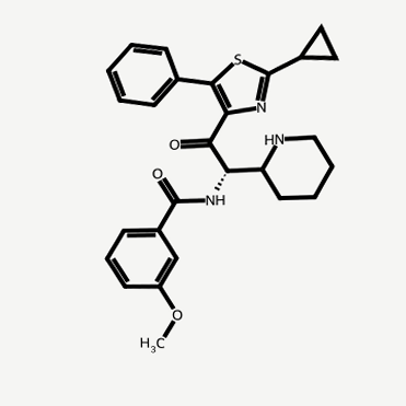 COc1cccc(C(=O)N[C@H](C(=O)c2nc(C3CC3)sc2-c2ccccc2)C2CCCCN2)c1